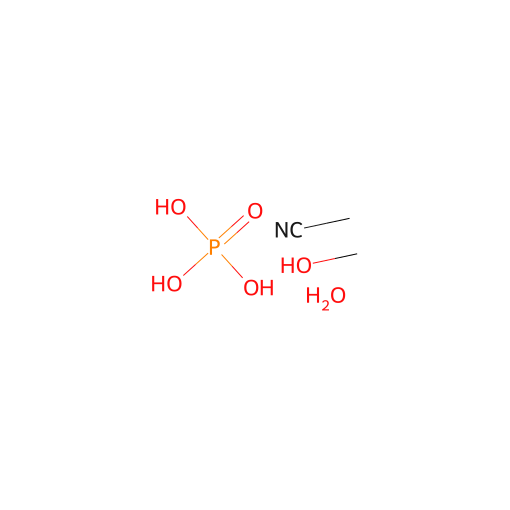 CC#N.CO.O.O=P(O)(O)O